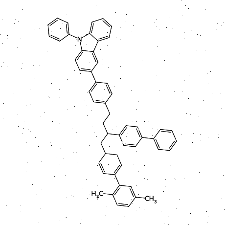 Cc1ccc(C)c(C2=CCC(CC(CCc3ccc(-c4ccc5c(c4)c4ccccc4n5-c4ccccc4)cc3)c3ccc(-c4ccccc4)cc3)C=C2)c1